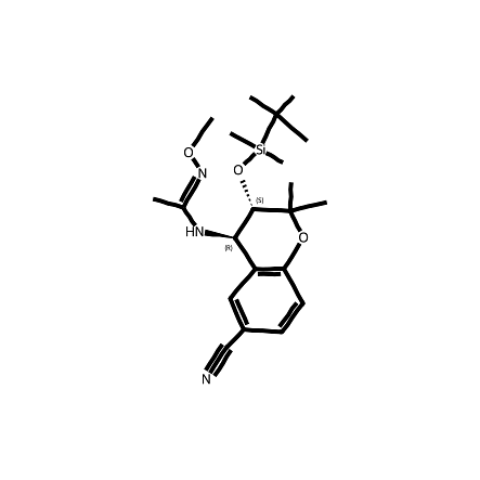 CON=C(C)N[C@@H]1c2cc(C#N)ccc2OC(C)(C)[C@H]1O[Si](C)(C)C(C)(C)C